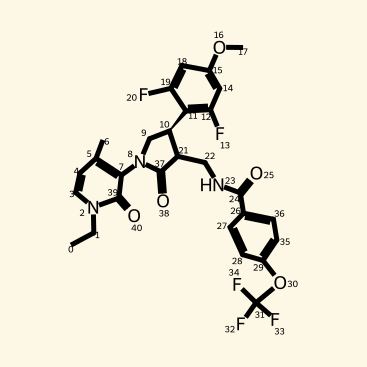 CCn1ccc(C)c(N2C[C@@H](c3c(F)cc(OC)cc3F)C(CNC(=O)c3ccc(OC(F)(F)F)cc3)C2=O)c1=O